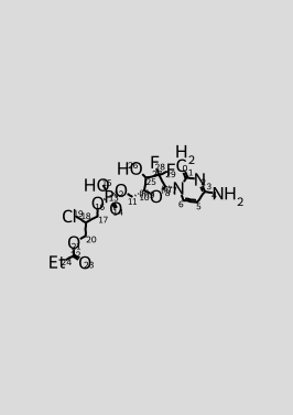 C=C1N=C(N)C=CN1[C@@H]1O[C@H](COP(=O)(O)OCC(Cl)COC(=O)CC)C(O)C1(F)F